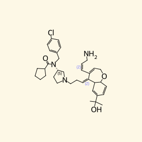 CC(C)(O)C1=CC2/C(=C/CCN3CC[C@H](N(Cc4ccc(Cl)cc4)C(=O)C4CCCC4)C3)C(/C=C\CN)=CCOC2C=C1